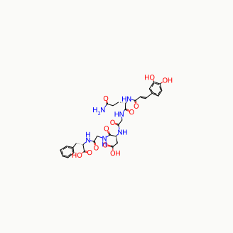 NC(=O)CC[C@H](NC(=O)/C=C/c1ccc(O)c(O)c1)C(=O)NCC(=O)N[C@@H](CC(=O)O)C(=O)NCC(=O)N[C@@H](Cc1ccccc1)C(=O)O